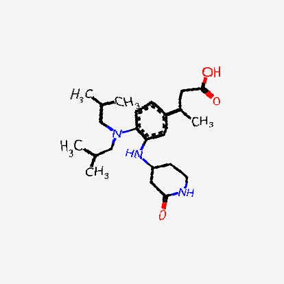 CC(C)CN(CC(C)C)c1ccc(C(C)CC(=O)O)cc1NC1CCNC(=O)C1